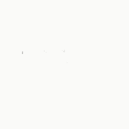 CC(C)c1cccc(NC(=O)COc2ccccc2)n1